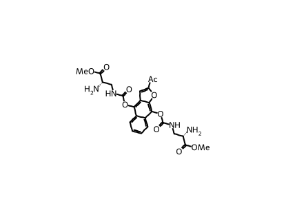 COC(=O)[C@@H](N)CNC(=O)Oc1c2ccccc2c(OC(=O)NC[C@H](N)C(=O)OC)c2oc(C(C)=O)cc12